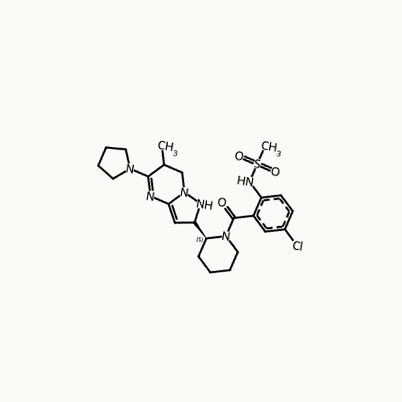 CC1CN2NC([C@@H]3CCCCN3C(=O)c3cc(Cl)ccc3NS(C)(=O)=O)C=C2N=C1N1CCCC1